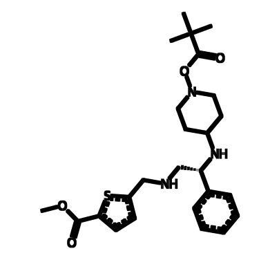 COC(=O)c1ccc(CNC[C@H](NC2CCN(OC(=O)C(C)(C)C)CC2)c2ccccc2)s1